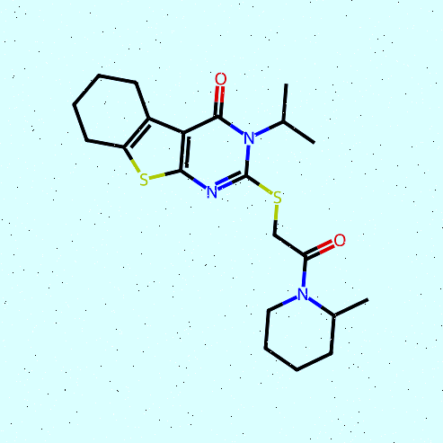 CC1CCCCN1C(=O)CSc1nc2sc3c(c2c(=O)n1C(C)C)CCCC3